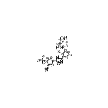 CCC(NC(C)(C)CO)c1cccc(-c2noc(-c3ccc(OC(C)C)c(C#N)c3)n2)c1C